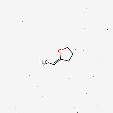 CC=C1CCCO1